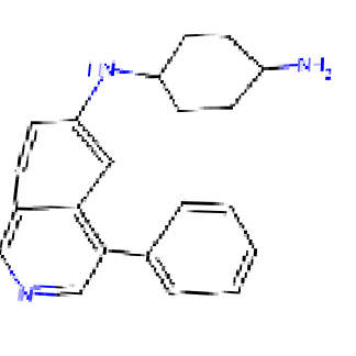 NC1CCC(Nc2ccc3cncc(-c4ccccc4)c3c2)CC1